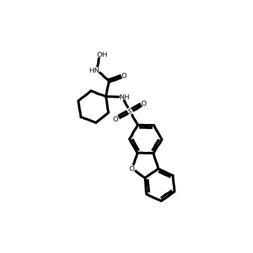 O=C(NO)C1(NS(=O)(=O)c2ccc3c(c2)oc2ccccc23)CCCCC1